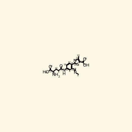 CN=Nc1cc(NC(=O)CCC(N)C(=O)O)ccc1-c1nc(C)c(C(=O)O)s1